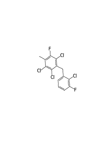 Cc1c(F)c(Cl)c(Cc2cccc(F)c2Cl)c(Cl)c1Cl